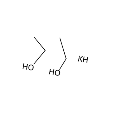 CCO.CCO.[KH]